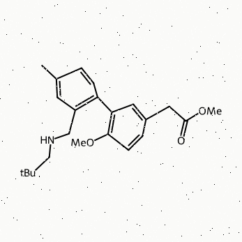 COC(=O)Cc1ccc(OC)c(-c2ccc(C)cc2CNCC(C)(C)C)c1